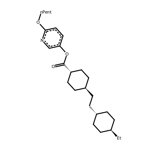 CCCCCOc1ccc(OC(=O)[C@H]2CC[C@H](CC[C@H]3CC[C@H](CC)CC3)CC2)cn1